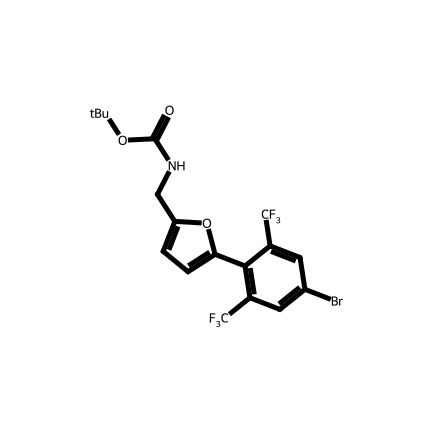 CC(C)(C)OC(=O)NCc1ccc(-c2c(C(F)(F)F)cc(Br)cc2C(F)(F)F)o1